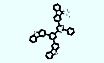 CC1(C)c2ccccc2-c2ccc(-c3cc(-c4cc(-c5ccc6oc7ccccc7c6c5)cc(-c5ccc6oc7ccccc7c6c5)c4)nc(-c4ccccc4)n3)cc21